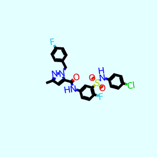 Cc1cc(C(=O)Nc2ccc(F)c(S(=O)(=O)Nc3ccc(Cl)cc3)c2)n(Cc2ccc(F)cc2)n1